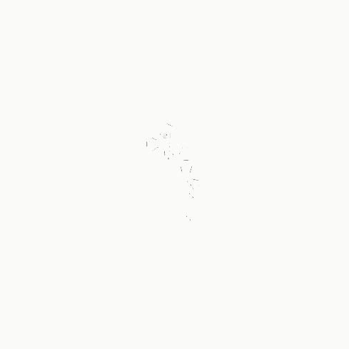 COC(=O)CNc1ccccc1C(=O)C1(NC(=O)c2ccc(-c3csc(N4CCC(N5CCOCC5)CC4)n3)cc2)CCCCC1